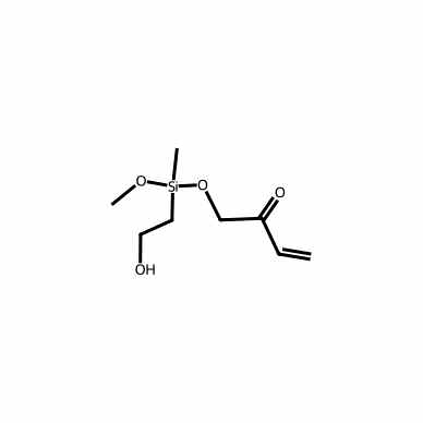 C=CC(=O)CO[Si](C)(CCO)OC